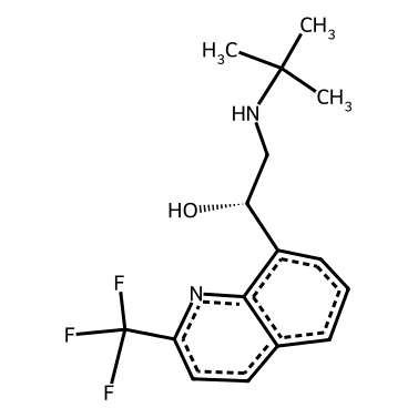 CC(C)(C)NC[C@@H](O)c1cccc2ccc(C(F)(F)F)nc12